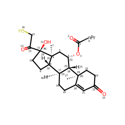 CCCC(=O)O[C@H]1C[C@@]2(C)[C@@H](CC[C@]2(O)C(=O)CS)[C@@H]2CCC3=CC(=O)CC[C@]3(C)[C@H]21